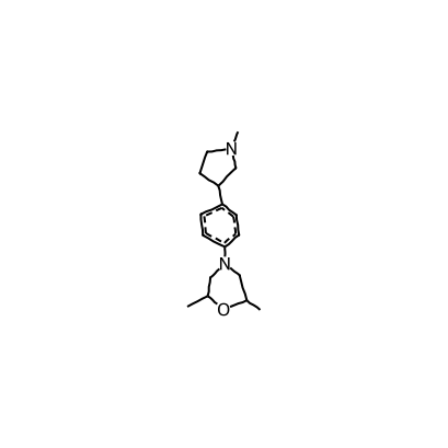 CC1CN(c2ccc(C3CCN(C)C3)cc2)CC(C)O1